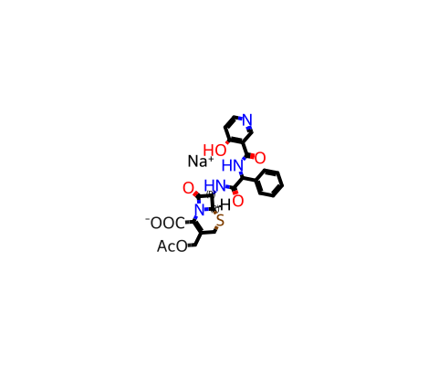 CC(=O)OCC1=C(C(=O)[O-])N2C(=O)[C@@H](NC(=O)C(NC(=O)c3cnccc3O)c3ccccc3)[C@H]2SC1.[Na+]